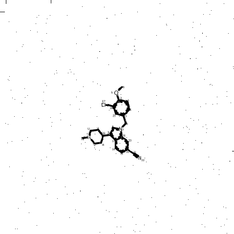 COc1ccc(Cn2cc(C3CCN(C)CC3)c3ccc(C#N)cc32)cc1Cl